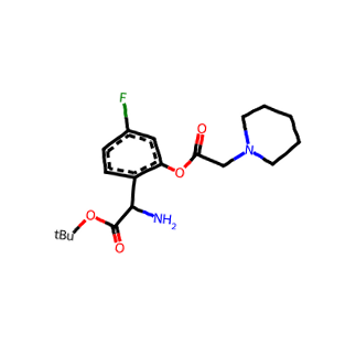 CC(C)(C)OC(=O)C(N)c1ccc(F)cc1OC(=O)CN1CCCCC1